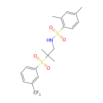 Cc1ccc(S(=O)(=O)NCC(C)(C)S(=O)(=O)c2cccc(C(F)(F)F)c2)c(C)c1